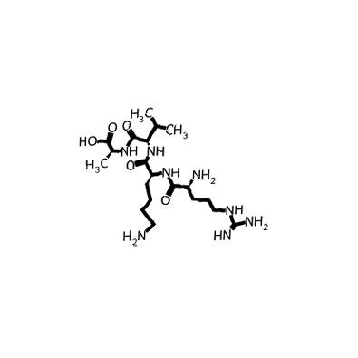 CC(C)[C@H](NC(=O)[C@H](CCCCN)NC(=O)[C@@H](N)CCCNC(=N)N)C(=O)N[C@@H](C)C(=O)O